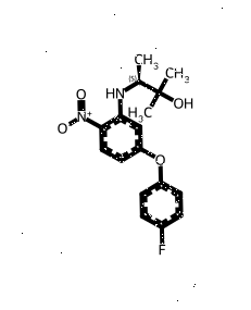 C[C@H](Nc1cc(Oc2ccc(F)cc2)ccc1[N+](=O)[O-])C(C)(C)O